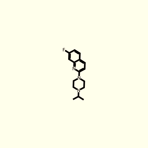 CC(C)N1CCN(c2ccc3ccc(F)cc3n2)CC1